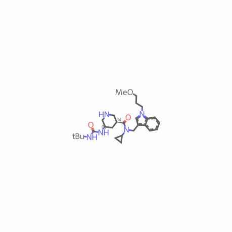 COCCCn1cc(CN(C(=O)[C@@H]2CNC[C@H](NC(=O)NC(C)(C)C)C2)C2CC2)c2ccccc21